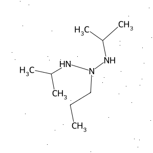 CCCN(NC(C)C)NC(C)C